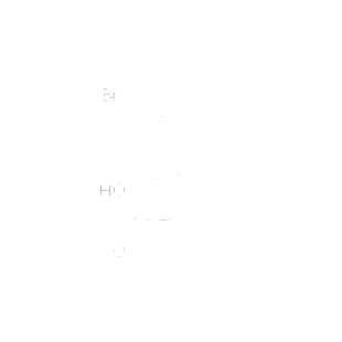 Brc1ccc2c(c1)CCC2.CC(=O)O